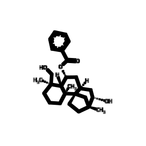 C[C@@]12CC[C@]3(C1)[C@@H](C[C@@H](OC(=O)c1ccccc1)[C@H]1[C@](C)(CO)CCC[C@@]13C)C[C@@H]2O